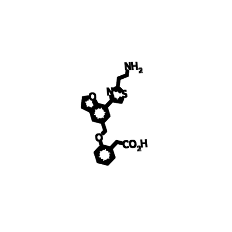 NCCc1nc(-c2cc(COc3ccccc3CC(=O)O)cc3ccoc23)cs1